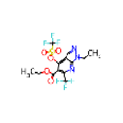 CCOC(=O)c1c(C(F)(F)F)nc2c(cnn2CC)c1OS(=O)(=O)C(F)(F)F